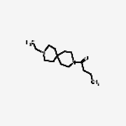 CCCC(=O)N1CCC2(CCN(CC)CC2)CC1